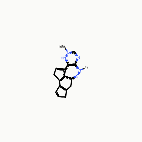 CCCCn1cnc2n(CC)nc3c4c(c=2[nH]1)=CCC=4C1=C(CC=C1)C3